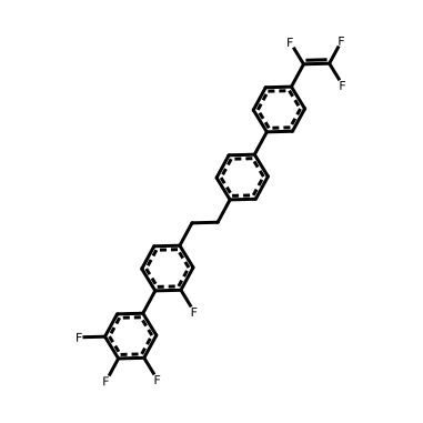 FC(F)=C(F)c1ccc(-c2ccc(CCc3ccc(-c4cc(F)c(F)c(F)c4)c(F)c3)cc2)cc1